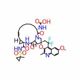 COc1ccc2nc(C)c3c(c2c1)C(F)(F)C[C@]1(C[C@H]2C(=O)N[C@]4(C(=O)NS(=O)(=O)C5(C)CC5)C[C@H]4C=CCCCCC[C@H](NC(=O)O)C(=O)N2C1)O3